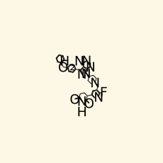 Nc1ncnc2c1c(-c1ccc(Oc3ccccc3)cc1)nn2C1CCN(Cc2cc(C3CCC(=O)NC3=O)cnc2F)CC1